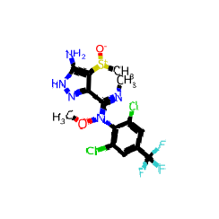 CN=C(c1n[nH]c(N)c1[S+](C)[O-])N(OC)c1c(Cl)cc(C(F)(F)F)cc1Cl